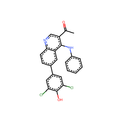 CC(=O)c1cnc2ccc(-c3cc(Cl)c(O)c(Cl)c3)cc2c1Nc1ccccc1